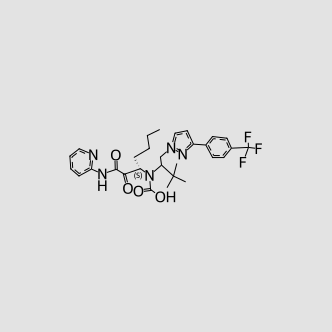 CCCC[C@@H](C(=O)C(=O)Nc1ccccn1)N(C(=O)O)C(Cn1ccc(-c2ccc(C(F)(F)F)cc2)n1)C(C)(C)C